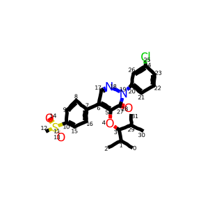 CC(C)C(Oc1c(-c2ccc(S(C)(=O)=O)cc2)cnn(-c2cccc(Cl)c2)c1=O)C(C)C